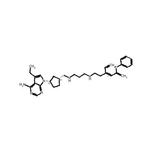 C=C/C(=C\C(=C)Oc1ccccc1)CCNCCCNC[C@@H]1CC[C@H](n2cc(CC)c3c(N)ncnc32)C1